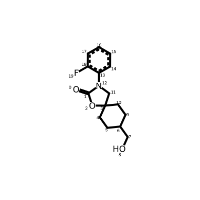 O=C1OC2(CCC(CO)CC2)CN1c1ccccc1F